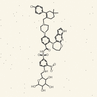 CC1(C)CCC(CN2CCN(c3ccc(C(=O)NS(=O)(=O)c4ccc(NCC5OC(O)C(O)C(O)C5O)c([N+](=O)[O-])c4)c(N4CCCOc5nc6[nH]ccc6cc54)c3)CC2)=C(c2ccc(Cl)cc2)C1